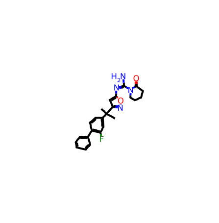 CC(C)(c1ccc(-c2ccccc2)c(F)c1)c1cc(/N=C(/N)N2CCCCC2=O)on1